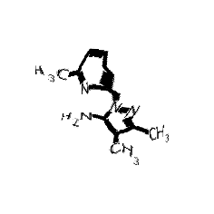 Cc1cccc(-n2nc(C)c(C)c2N)n1